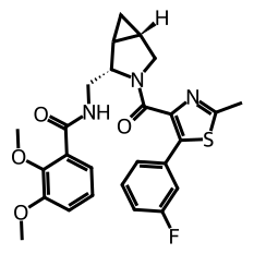 COc1cccc(C(=O)NC[C@@H]2C3C[C@@H]3CN2C(=O)c2nc(C)sc2-c2cccc(F)c2)c1OC